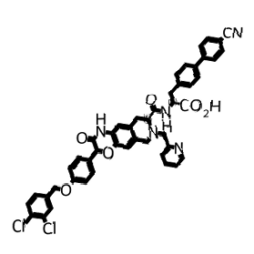 N#Cc1ccc(-c2ccc(C[C@H](NC(=O)[C@@H]3Cc4cc5c(cc4CN3Cc3ccccn3)OC(c3ccc(OCc4ccc(Cl)c(Cl)c4)cc3)C(=O)N5)C(=O)O)cc2)cc1